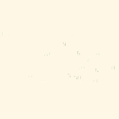 CCCCOc1c(-c2nccn2S(=O)(=O)N(C)C)n(N)ccc1=O